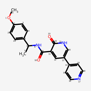 COc1ccc(C(C)NC(=O)c2cc(-c3ccncc3)c[nH]c2=O)cc1